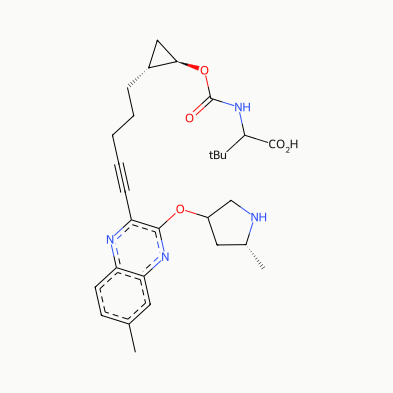 Cc1ccc2nc(C#CCCC[C@@H]3C[C@H]3OC(=O)NC(C(=O)O)C(C)(C)C)c(OC3CN[C@H](C)C3)nc2c1